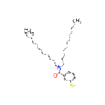 CCCCCCCCCCCCN(CCCCCCCCCCCC)C(=O)c1cccc([S])c1